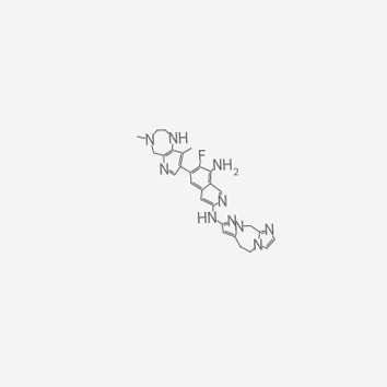 Cc1c(-c2cc3cc(Nc4cc5n(n4)Cc4nccn4CC5)ncc3c(N)c2F)cnc2c1NCCN(C)C2